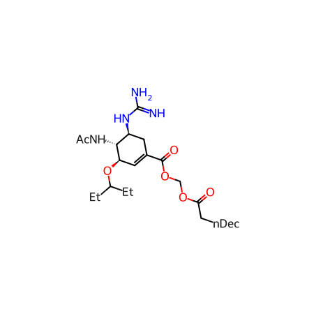 CCCCCCCCCCCC(=O)OCOC(=O)C1=C[C@@H](OC(CC)CC)[C@H](NC(C)=O)[C@@H](NC(=N)N)C1